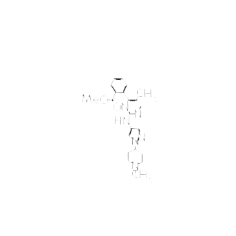 COC(=O)c1ccccc1-c1nc(Nc2cnn(C3CCN(C)CC3)c2)ncc1C